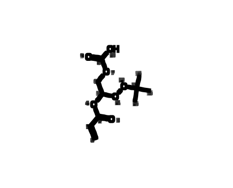 C=CC(=O)OC(COC(=O)O)OOC(C)(C)C